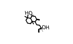 C=C[C@](C)(O)CCC1C(=C)C[C@@H](O)C2C(C)(C)CCCC12C